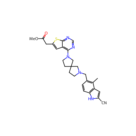 COC(=O)Cc1cc2c(N3CCC4(CCN(Cc5ccc6[nH]c(C#N)cc6c5C)C4)C3)ncnc2s1